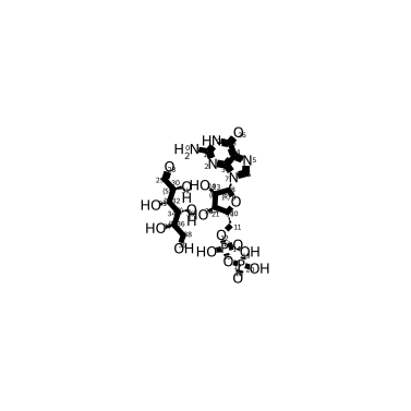 Nc1nc2c(ncn2[C@@H]2O[C@H](COP(=O)(O)OP(=O)(O)O)[C@@H](O)[C@H]2O)c(=O)[nH]1.O=C[C@@H](O)[C@@H](O)[C@H](O)[C@H](O)CO